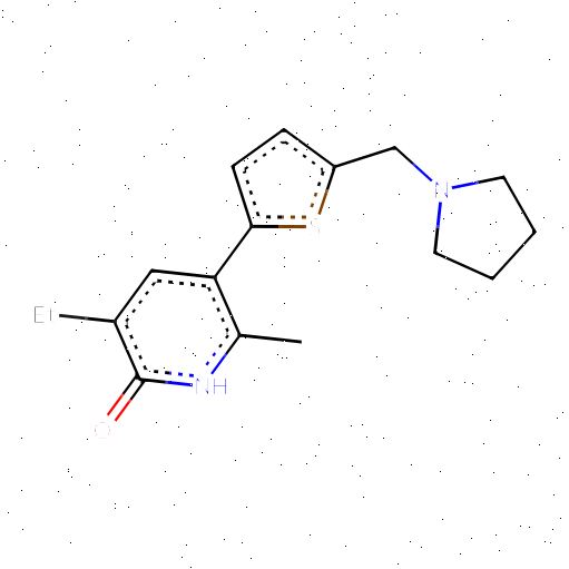 CCc1cc(-c2ccc(CN3CCCC3)s2)c(C)[nH]c1=O